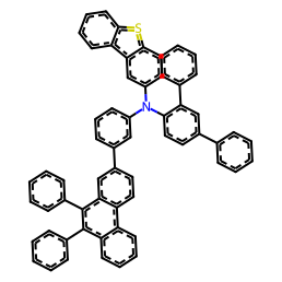 c1ccc(-c2ccc(N(c3cccc(-c4ccc5c(c4)c(-c4ccccc4)c(-c4ccccc4)c4ccccc45)c3)c3ccc4sc5ccccc5c4c3)c(-c3ccccc3)c2)cc1